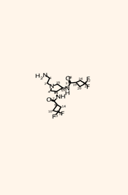 NCCN1C[C@@H](NC(=O)C2CC(F)(F)C2)[C@H](NC(=O)C2CC(F)(F)C2)C1